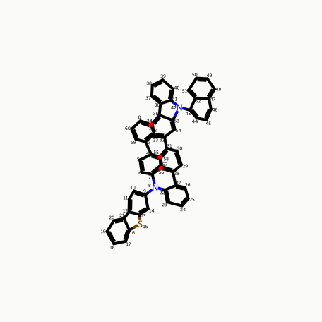 c1ccc(-c2ccc(N(c3ccc4c(c3)sc3ccccc34)c3ccccc3-c3ccc(-c4ccc5c6ccccc6n(-c6cccc7ccccc67)c5c4)cc3)cc2)cc1